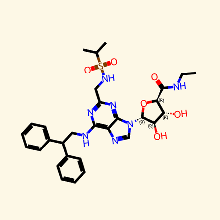 CCNC(=O)[C@@H]1O[C@@H](n2cnc3c(NCC(c4ccccc4)c4ccccc4)nc(CNS(=O)(=O)C(C)C)nc32)[C@H](O)[C@H]1O